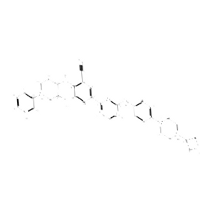 N#Cc1cc(-c2ncnc(Nc3ccc(N4CCN(C5COC5)CC4)cc3)n2)ccc1OC1CCN(c2cccnc2)CC1F